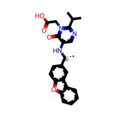 CC(C)c1ncc(N[C@H](C)c2ccc3oc4ccccc4c3c2)c(=O)n1CC(=O)O